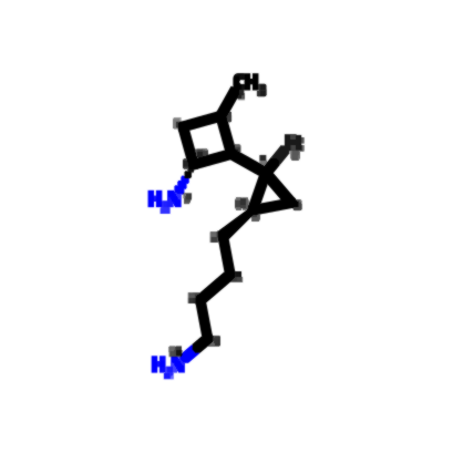 CCC1(C2C(C)C[C@H]2N)C[C@H]1CCCCN